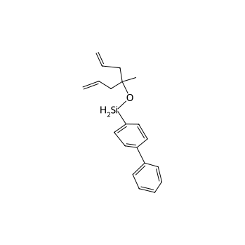 C=CCC(C)(CC=C)O[SiH2]c1ccc(-c2ccccc2)cc1